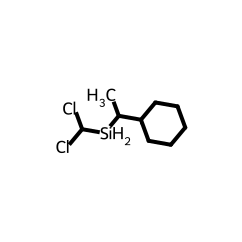 CC([SiH2]C(Cl)Cl)[C]1CCCCC1